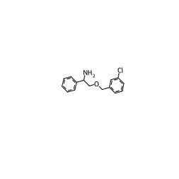 NC(COCc1cccc(Cl)c1)c1ccccc1